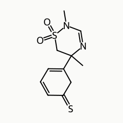 CN1C=NC(C)(C2=CC=CC(=S)C2)CS1(=O)=O